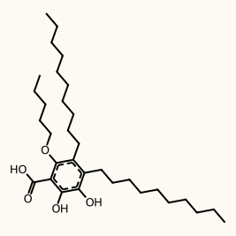 CCCCCCCCCCc1c(O)c(O)c(C(=O)O)c(OCCCCC)c1CCCCCCCCCC